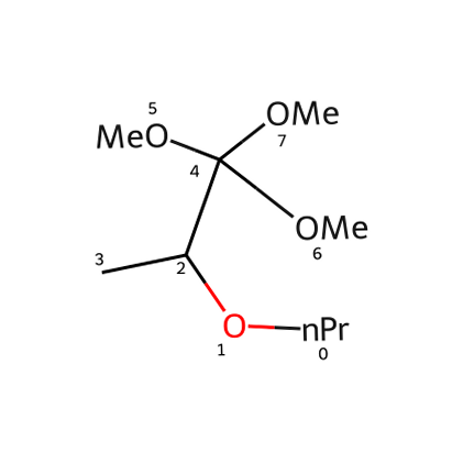 CCCOC(C)C(OC)(OC)OC